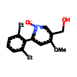 CCc1cccc(CC)c1-c1cc(OC)c(CO)c[n+]1[O-]